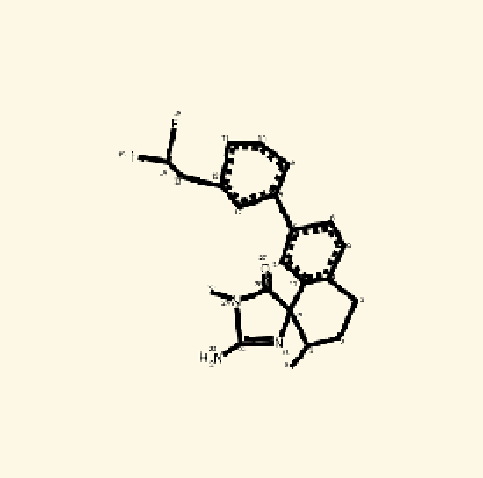 CC1CCc2ccc(-c3cccc(CC(F)F)c3)cc2C12N=C(N)N(C)C2=O